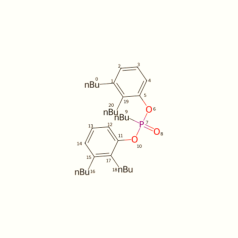 CCCCc1cccc(OP(=O)(CCCC)Oc2cccc(CCCC)c2CCCC)c1CCCC